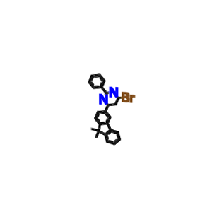 CC1(C)c2ccccc2-c2cc(C3CC(Br)=NC(c4ccccc4)=N3)ccc21